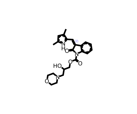 Cc1cc(C)c(/C=C2\C(=O)N(C(=O)OCC(O)CN3CCOCC3)c3ccccc32)[nH]1